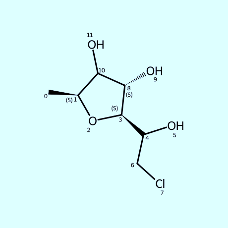 C[C@@H]1O[C@H](C(O)CCl)[C@@H](O)C1O